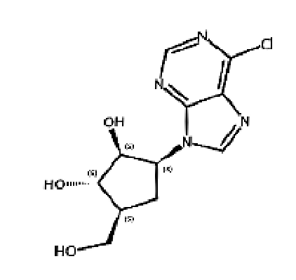 OC[C@@H]1C[C@H](n2cnc3c(Cl)ncnc32)[C@H](O)[C@H]1O